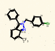 FC(F)(F)c1cccc2c(-c3ccccc3)n(Cc3ccc(Br)cc3)nc12